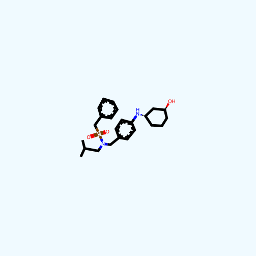 CC(C)CN(Cc1ccc(N[C@H]2CCC[C@H](O)C2)cc1)S(=O)(=O)Cc1ccccc1